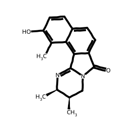 Cc1c(O)ccc2ccc3c(c12)C1=N[C@H](C)[C@H](C)CN1C3=O